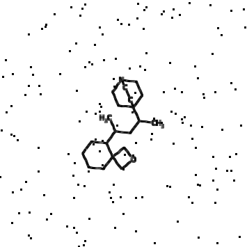 CC(CC(C)C12CCN(CC1)CC2)C1CCCCC12COC2